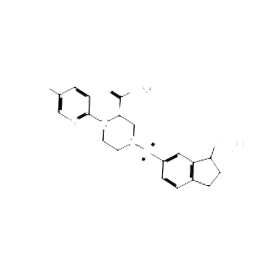 COC(=O)[C@H]1CN(S(=O)(=O)c2ccc3c(c2)C(C(=O)O)CC3)CCN1c1ccc(C(F)(F)F)cn1